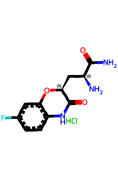 Cl.NC(=O)[C@@H](N)C[C@@H]1Oc2cc(F)ccc2NC1=O